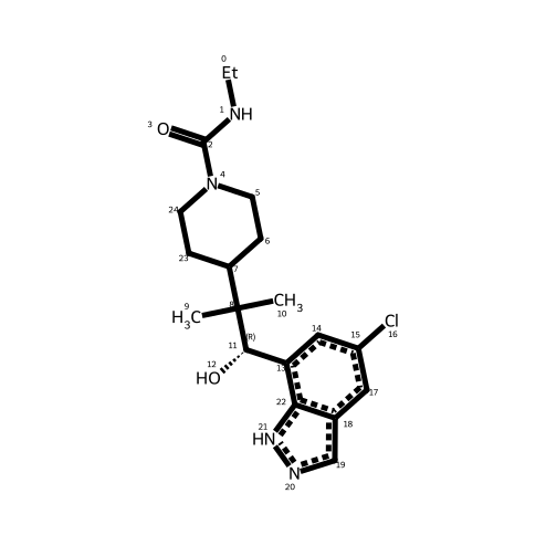 CCNC(=O)N1CCC(C(C)(C)[C@@H](O)c2cc(Cl)cc3cn[nH]c23)CC1